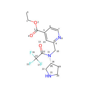 CCOC(=O)c1ccnc(CN(C(=O)C(F)(F)F)[C@@H]2CCNC2)c1